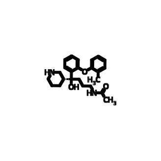 CC(=O)NCCCC(O)(c1ccccc1Oc1ccccc1C)[C@@H]1CCCNC1